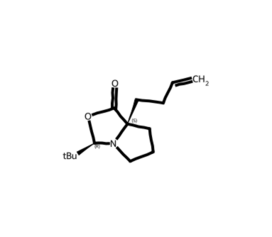 C=CCC[C@@]12CCCN1[C@@H](C(C)(C)C)OC2=O